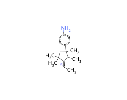 C/C=C1\C(C)C(C)(c2ccc(N)cc2)CC1(C)C